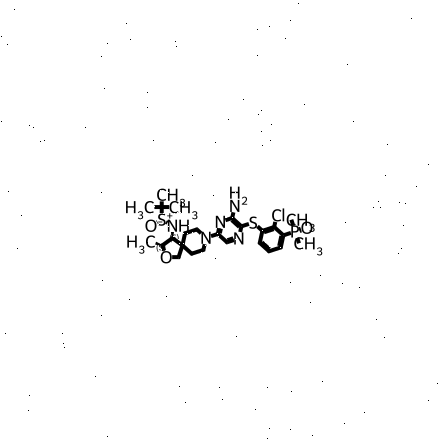 C[C@@H]1OCC2(CCN(c3cnc(Sc4cccc(P(C)(C)=O)c4Cl)c(N)n3)CC2)[C@@H]1N[S+]([O-])C(C)(C)C